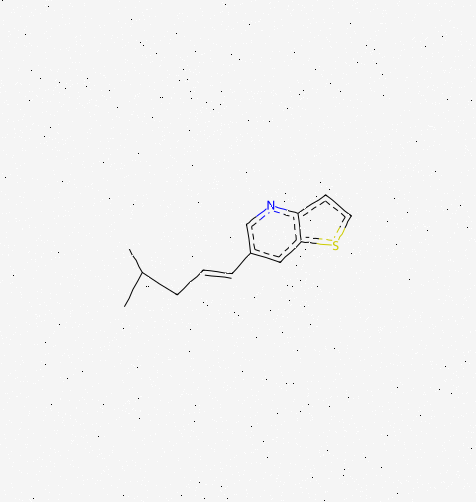 CC(C)C/C=C/c1cnc2ccsc2c1